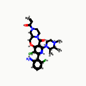 C=CC(=O)N1CCN2C(=O)c3c(N4CCN(C)C(C)C4C)nc(-c4c(N)cccc4F)c(Cl)c3OCC2C1